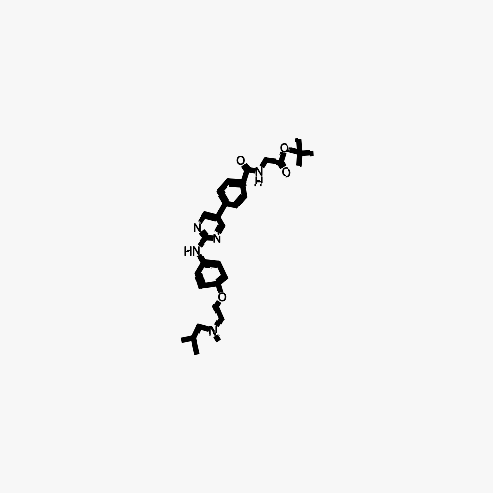 CC(C)CN(C)CCOc1ccc(Nc2ncc(-c3ccc(C(=O)NCC(=O)OC(C)(C)C)cc3)cn2)cc1